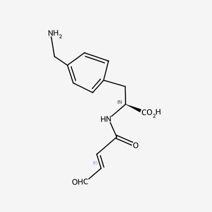 NCc1ccc(C[C@H](NC(=O)/C=C/C=O)C(=O)O)cc1